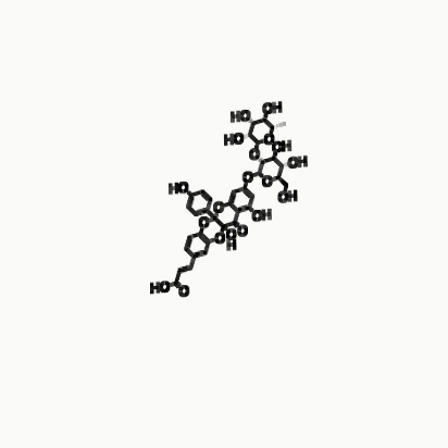 C[C@@H]1O[C@@H](O[C@H]2C(Oc3cc(O)c4c(c3)OC3(c5ccc(O)cc5)Oc5ccc(/C=C/C(=O)O)cc5OC3(O)C4=O)O[C@H](CO)[C@@H](O)[C@@H]2O)[C@H](O)[C@H](O)[C@H]1O